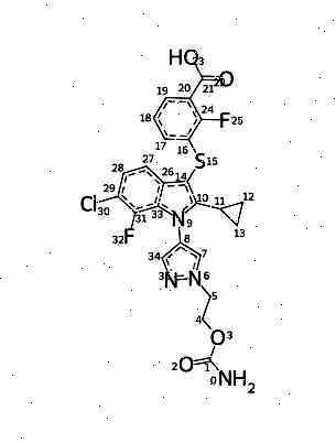 NC(=O)OCCn1cc(-n2c(C3CC3)c(Sc3cccc(C(=O)O)c3F)c3ccc(Cl)c(F)c32)cn1